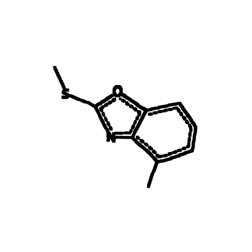 CSc1nc2c(C)cccc2o1